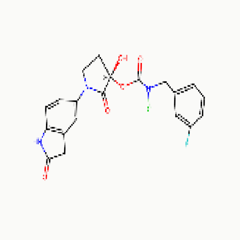 O=C1Cc2cc(N3CC[C@](O)(OC(=O)N(Cl)Cc4cccc(F)c4)C3=O)ccc2N1